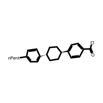 CCCCCc1ccc([C@H]2CC[C@H](c3ccc(C(=O)Cl)cc3)CC2)cc1